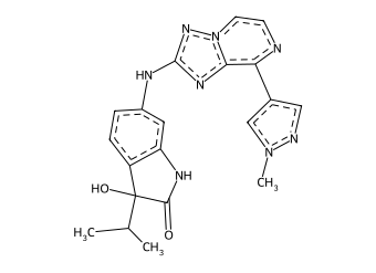 CC(C)C1(O)C(=O)Nc2cc(Nc3nc4c(-c5cnn(C)c5)nccn4n3)ccc21